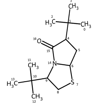 CC(C)(C)C1CC2SCC(C(C)(C)C)N2C1=O